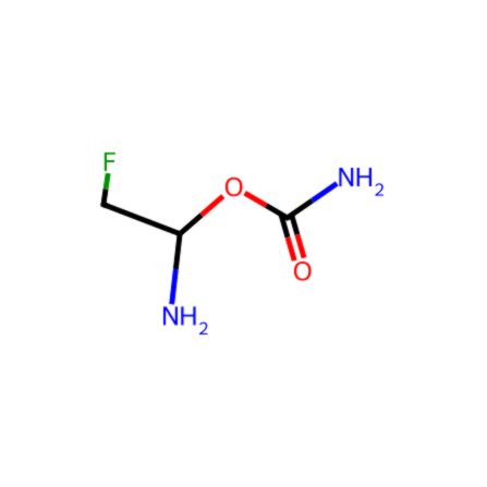 NC(=O)OC(N)CF